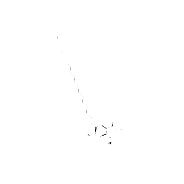 CCCCCCCCCCCCCCCCCCc1cc(C(=O)O)c(I=O)cc1C(=O)O